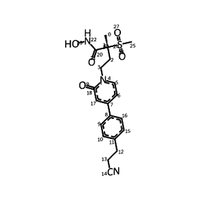 C[C@@](CCn1ccc(-c2ccc(CCC#N)cc2)cc1=O)(C(=O)NO)S(C)(=O)=O